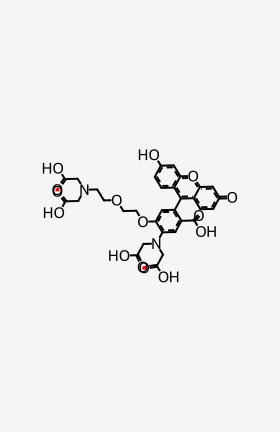 O=C(O)CN(CCOCCOc1cc(-c2c3ccc(=O)cc-3oc3cc(O)ccc23)c(C(=O)O)cc1N(CC(=O)O)CC(=O)O)CC(=O)O